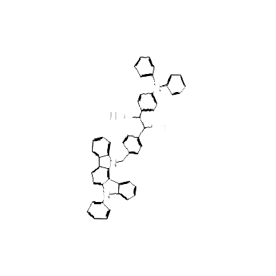 CC(c1ccc(Cn2c3ccccc3c3ccc4c(c5ccccc5n4-c4ccccc4)c32)cc1)C(C)c1ccc(N(c2ccccc2)c2ccccc2)cc1